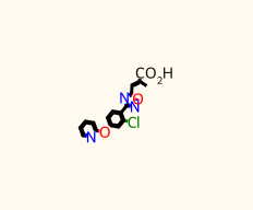 CC(=Cc1nc(-c2ccc(Oc3ccccn3)cc2Cl)no1)C(=O)O